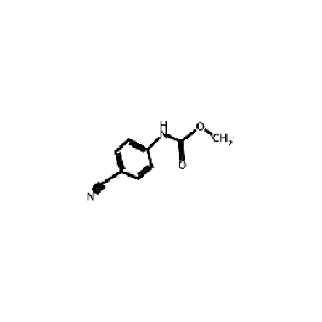 [CH2]OC(=O)Nc1ccc(C#N)cc1